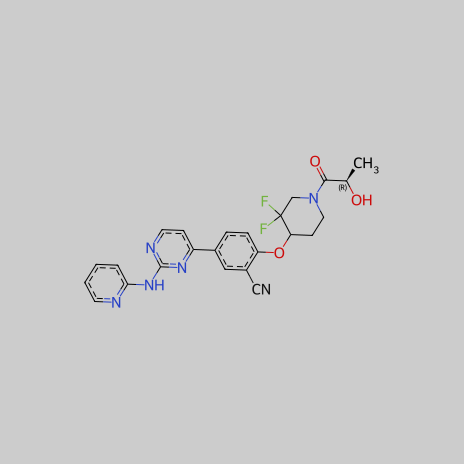 C[C@@H](O)C(=O)N1CCC(Oc2ccc(-c3ccnc(Nc4ccccn4)n3)cc2C#N)C(F)(F)C1